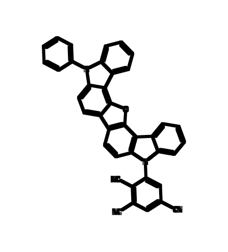 N#Cc1cc(C#N)c(C#N)c(-n2c3ccccc3c3c4oc5c(ccc6c5c5ccccc5n6-c5ccccc5)c4ccc32)c1